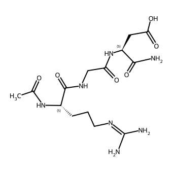 CC(=O)N[C@@H](CCCN=C(N)N)C(=O)NCC(=O)N[C@@H](CC(=O)O)C(N)=O